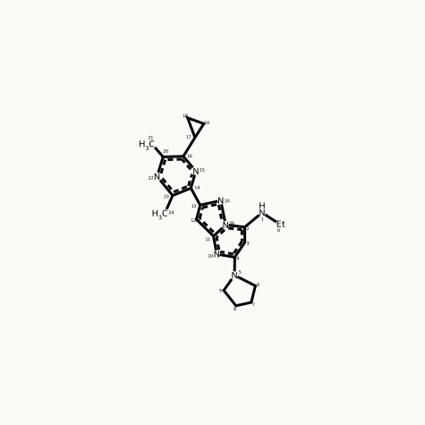 CCNc1cc(N2CCCC2)nc2cc(-c3nc(C4CC4)c(C)nc3C)nn12